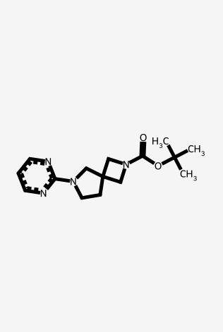 CC(C)(C)OC(=O)N1CC2(CCN(c3ncccn3)C2)C1